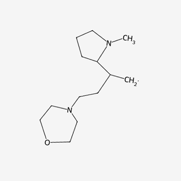 [CH2]C(CCN1CCOCC1)C1CCCN1C